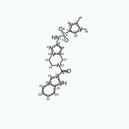 Cc1nc(S(=O)(=O)Nc2cc3n(n2)CCN(C(=O)c2cc4ccccc4[nH]2)C3)cn1C